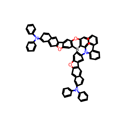 c1ccc(-c2ccccc2N2c3cc4c(cc3B3c5cc6oc7cc8cc(N(c9ccccc9)c9ccccc9)ccc8cc7c6cc5Oc5cccc2c53)oc2cc3cc(N(c5ccccc5)c5ccccc5)ccc3cc24)cc1